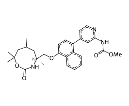 COC(=O)Nc1cc(-c2ccc(OC[C@]3(C)CC(C)CC(C)(C)OC(=O)N3)c3ccccc23)ccn1